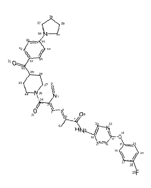 C=N/C(=C\C=C(/C)C(=O)Nc1ccc(Oc2ccc(F)cc2)nc1)C(=O)N1CCC(C(=O)c2ccc(N3CCCC3)cc2)CC1